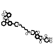 O=C1CC[C@H](N2Cc3c(ccc4c3OCC43CCN(C(=O)CCCCCN4CCC(c5ccc6c(c5)-n5c(nc(=O)c7c(Cl)cccc75)C65CCCCC5)CC4)CC3)C2=O)C(=O)N1